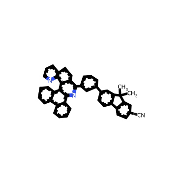 CC1(C)c2cc(C#N)ccc2-c2ccc(-c3cccc(-c4nc5c6ccccc6c6ccccc6c5c5c4ccc4cccnc45)c3)cc21